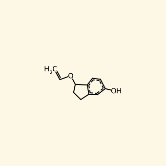 C=COC1CCc2cc(O)ccc21